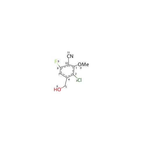 COc1c(Cl)c(CO)cc(F)c1C#N